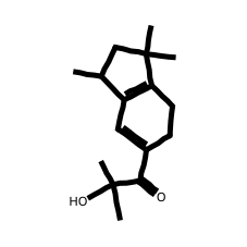 CC1CC(C)(C)C2=C1C=C(C(=O)C(C)(C)O)CC2